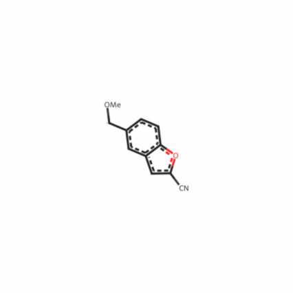 CO[CH]c1ccc2oc(C#N)cc2c1